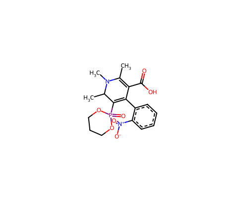 CC1=C(C(=O)O)C(c2ccccc2[N+](=O)[O-])=C(P2(=O)OCCCO2)C(C)N1C